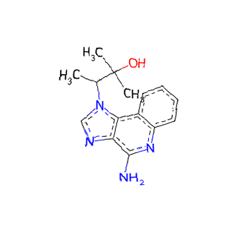 CC(n1cnc2c(N)nc3ccccc3c21)C(C)(C)O